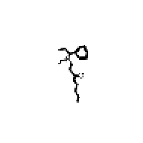 CCCCCC(=O)CCN(CC)C(CC)c1ccccc1